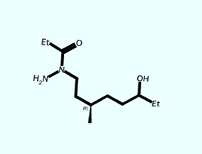 CCC(=O)N(N)CC[C@H](C)CCC(O)CC